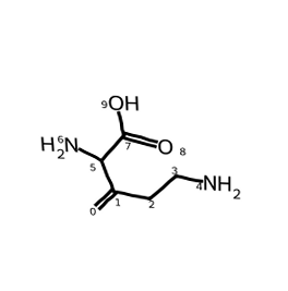 C=C(CCN)C(N)C(=O)O